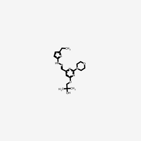 CCc1ccc(NN=Cc2cc(OCC(C)(C)O)nc(N3CCOCC3)n2)s1